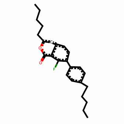 CCCCCc1ccc(-c2ccc3cc(CCCCC)oc(=O)c3c2F)cc1